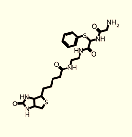 NCC(=O)NC(Sc1ccccc1)C(=O)NCCNC(=O)CCCCC1SCC2NC(=O)NC21